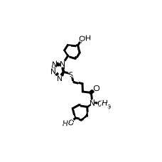 CN(C(=O)CCCSc1nnnn1C1CCC(O)CC1)C1CCC(O)CC1